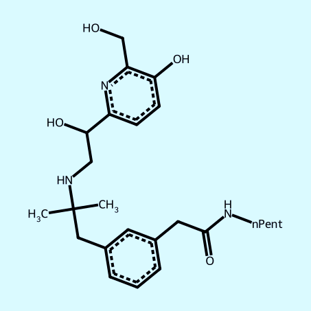 CCCCCNC(=O)Cc1cccc(CC(C)(C)NCC(O)c2ccc(O)c(CO)n2)c1